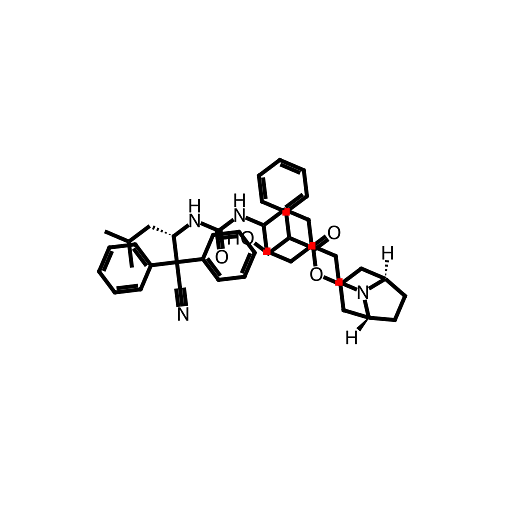 CC(C)C[C@H](NC(=O)NC1CCC(CCN2[C@@H]3CC[C@@H]2CC(OC(=O)C(CO)c2ccccc2)C3)CC1)C(C#N)(c1ccccc1)c1ccccc1